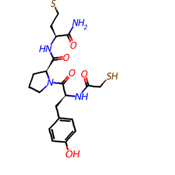 CSCC[C@H](NC(=O)[C@@H]1CCCN1C(=O)[C@H](Cc1ccc(O)cc1)NC(=O)CS)C(N)=O